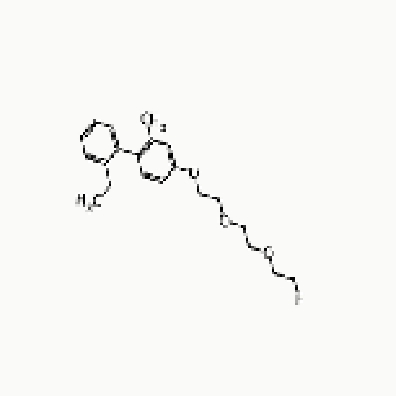 CCc1ccccc1-c1ccc(OCCOCCOCCF)cc1C